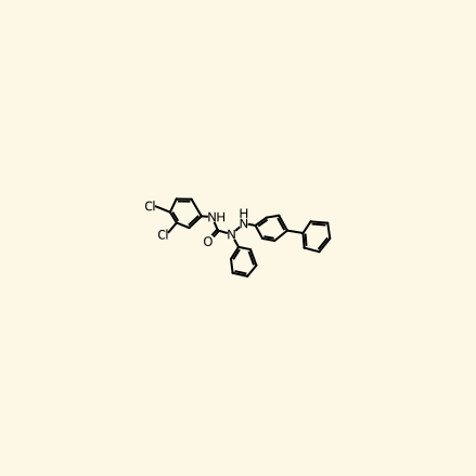 O=C(Nc1ccc(Cl)c(Cl)c1)N(Nc1ccc(-c2ccccc2)cc1)c1ccccc1